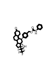 C[C@]12C[C@H](c3ccc(COC(=O)Nc4ccccc4)cc3)C3=C4CCC(=O)C=C4CCC3C1CC[C@@]2(O)C(F)(F)C(F)(F)F